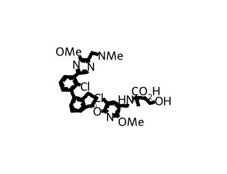 CNCc1ncc(-c2cccc(-c3cccc4c3CC[C@@H]4Oc3nc(OC)c(CN[C@@](C)(CCO)C(=O)O)cc3Cl)c2Cl)nc1OC